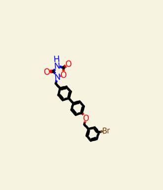 O=c1[nH]c(=O)n(Cc2ccc(-c3ccc(OCc4cccc(Br)c4)cc3)cc2)o1